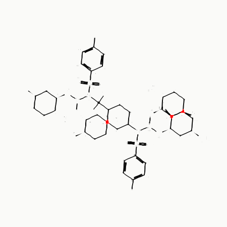 Cc1ccc(S(=O)(=O)N(C2CCC(C(C)(C)N(P(O[C@@H]3C[C@H](C)CC[C@H]3C(C)C)O[C@@H]3C[C@H](C)CC[C@H]3C(C)C)S(=O)(=O)c3ccc(C)cc3)CC2)P(O[C@@H]2C[C@H](C)CCC2C(C)C)O[C@@H]2C[C@H](C)CC[C@H]2C(C)C)cc1